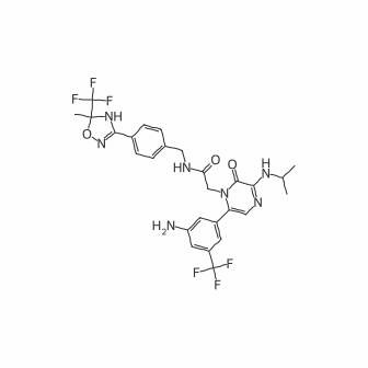 CC(C)Nc1ncc(-c2cc(N)cc(C(F)(F)F)c2)n(CC(=O)NCc2ccc(C3=NOC(C)(C(F)(F)F)N3)cc2)c1=O